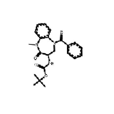 CN1C(=O)C(NC(=O)OC(C)(C)C)CN(C(=O)c2ccccc2)c2ccccc21